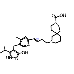 Cc1cc(/C=C/CCN2CCCC3(CCN(C(=O)O)CC3)C2)ccc1Cc1c(O)n[nH]c1C(C)C